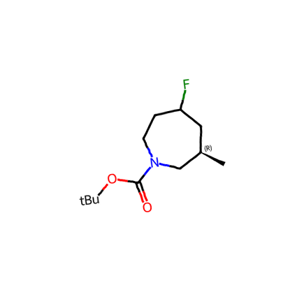 C[C@@H]1CC(F)CCN(C(=O)OC(C)(C)C)C1